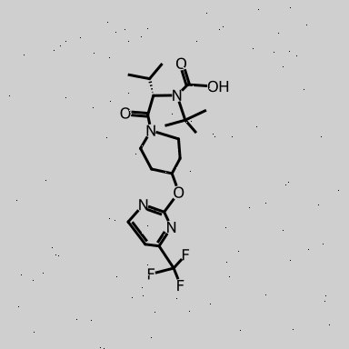 CC(C)[C@@H](C(=O)N1CCC(Oc2nccc(C(F)(F)F)n2)CC1)N(C(=O)O)C(C)(C)C